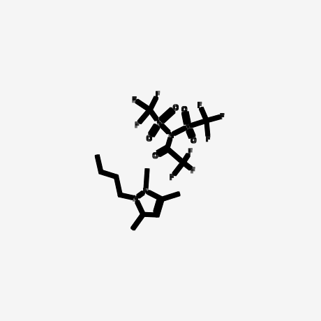 CCCCN1C(C)C=C(C)N1C.O=C(N(S(=O)(=O)C(F)(F)F)S(=O)(=O)C(F)(F)F)C(F)(F)F